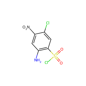 Nc1cc([N+](=O)[O-])c(Cl)cc1S(=O)(=O)Cl